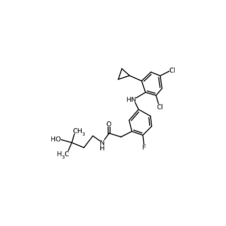 CC(C)(O)CCNC(=O)Cc1cc(Nc2c(Cl)cc(Cl)cc2C2CC2)ccc1F